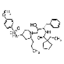 CCCC1CC(NS(=O)(=O)c2ccc(OC)cc2)CCN1C[C@@H](O)[C@H](Cc1ccccc1)NC(=O)C1(CC)CCCC1